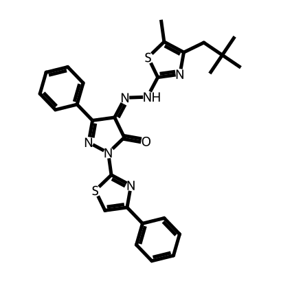 Cc1sc(N/N=C2\C(=O)N(c3nc(-c4ccccc4)cs3)N=C2c2ccccc2)nc1CC(C)(C)C